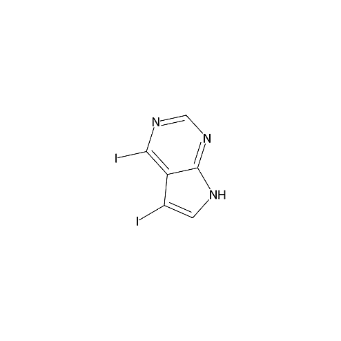 Ic1c[nH]c2ncnc(I)c12